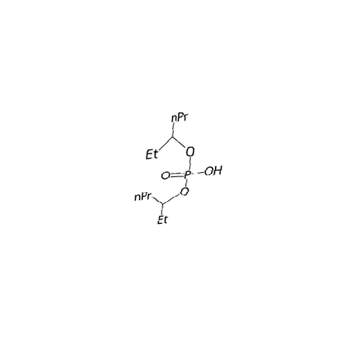 CCCC(CC)OP(=O)(O)OC(CC)CCC